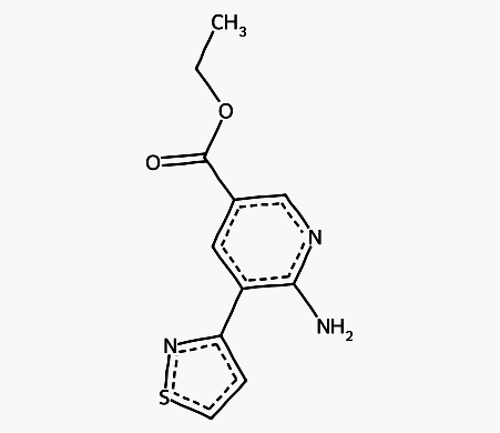 CCOC(=O)c1cnc(N)c(-c2ccsn2)c1